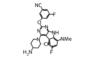 CNc1cc(F)cc2c1[nH]c1nc(Oc3cc(F)cc(C#N)c3)nc(N3CC[C@H](N)C[C@H]3C)c12